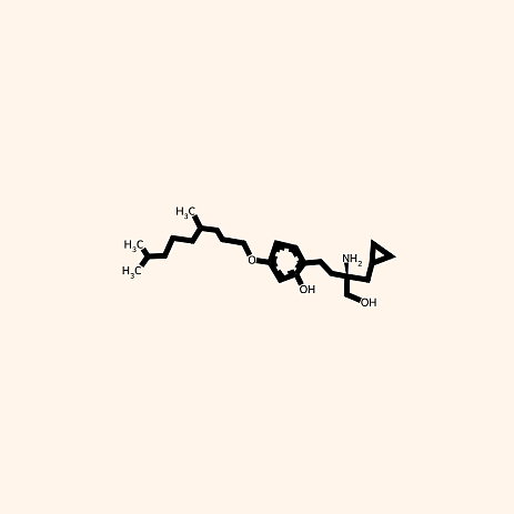 CC(C)CCCC(C)CCCOc1ccc(CC[C@@](N)(CO)CC2CC2)c(O)c1